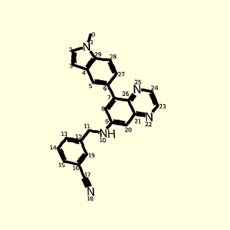 Cn1ccc2cc(-c3cc(NCc4cccc(C#N)c4)cc4nccnc34)ccc21